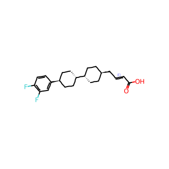 O=C(O)/C=C/C[C@H]1CC[C@H]([C@H]2CC[C@H](c3ccc(F)c(F)c3)CC2)CC1